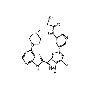 CC(C)CC(=O)Nc1cncc(-c2cc(F)c3[nH]nc(-c4nc5c(N6CCN(C)CC6)ccnc5[nH]4)c3c2)c1